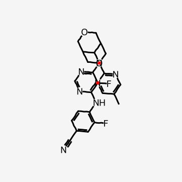 Cc1cnc(N2CC3COCC(C2)C3Oc2ncnc(Nc3ccc(C#N)cc3F)c2F)nc1